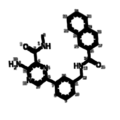 CNC(=O)c1nc(-c2cccc(CNC(=O)c3ccc4ccccc4c3)c2)cnc1N